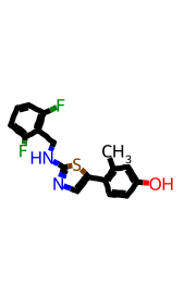 Cc1cc(O)ccc1-c1cnc(NCc2c(F)cccc2F)s1